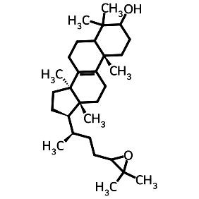 C[C@H](CCC1OC1(C)C)[C@H]1CC[C@@]2(C)C3=C(CC[C@]12C)[C@@]1(C)CCC(O)C(C)(C)C1CC3